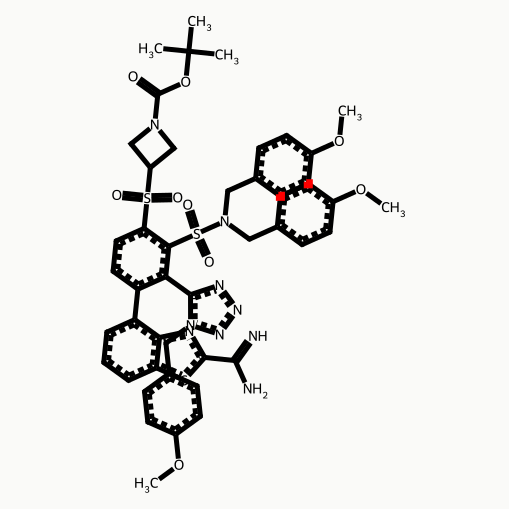 COc1ccc(CN(Cc2ccc(OC)cc2)S(=O)(=O)c2c(S(=O)(=O)C3CN(C(=O)OC(C)(C)C)C3)ccc(-c3cccc4sc(C(=N)N)nc34)c2-c2nnnn2Cc2ccc(OC)cc2)cc1